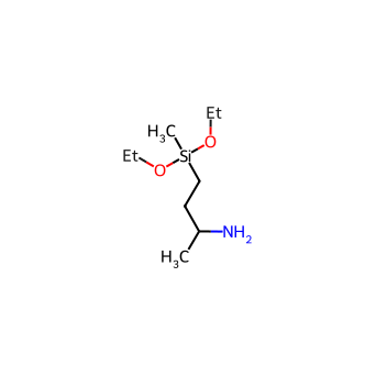 CCO[Si](C)(CCC(C)N)OCC